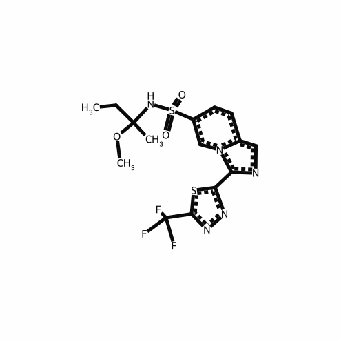 CCC(C)(NS(=O)(=O)c1ccc2cnc(-c3nnc(C(F)(F)F)s3)n2c1)OC